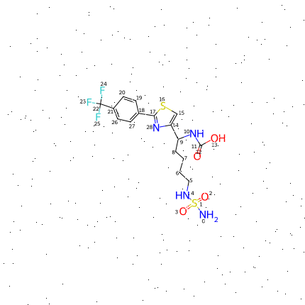 NS(=O)(=O)NCCCCC(NC(=O)O)c1csc(-c2ccc(C(F)(F)F)cc2)n1